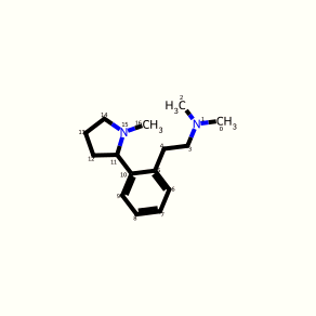 CN(C)CCc1ccccc1C1CCCN1C